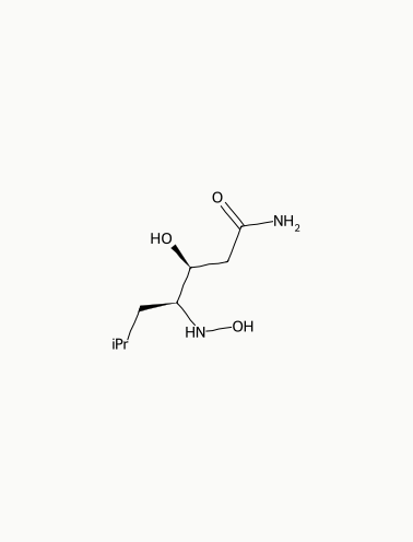 CC(C)C[C@H](NO)[C@@H](O)CC(N)=O